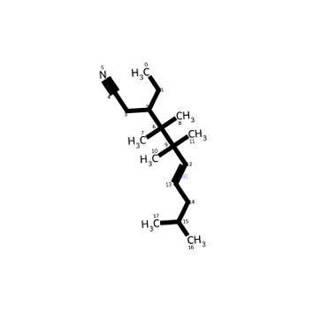 CCC(CC#N)C(C)(C)C(C)(C)/C=C/CC(C)C